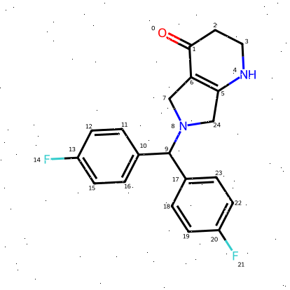 O=C1CCNC2=C1CN(C(c1ccc(F)cc1)c1ccc(F)cc1)C2